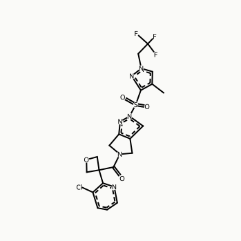 Cc1cn(CC(F)(F)F)nc1S(=O)(=O)n1cc2c(n1)CN(C(=O)C1(c3ncccc3Cl)COC1)C2